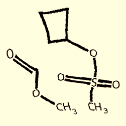 COC=O.CS(=O)(=O)OC1CCC1